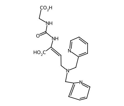 O=C(O)CNC(=O)N/C(=C/CN(Cc1ccccn1)Cc1ccccn1)C(=O)O